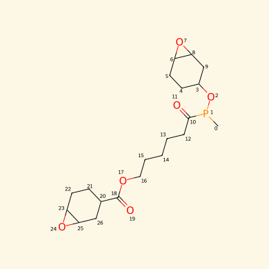 CP(OC1CCC2OC2C1)C(=O)CCCCCOC(=O)C1CCC2OC2C1